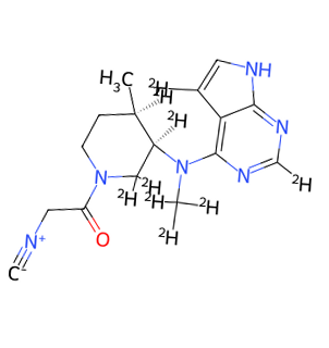 [2H]c1nc(N(C([2H])([2H])[2H])[C@@]2([2H])C([2H])([2H])N(C(=O)C[N+]#[C-])CC[C@@]2([2H])C)c2c([2H])c[nH]c2n1